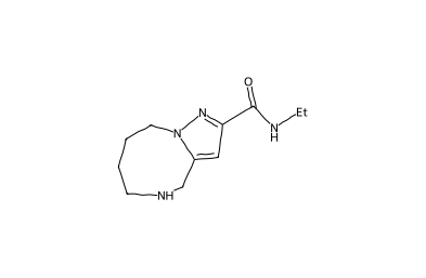 CCNC(=O)c1cc2n(n1)CCCCNC2